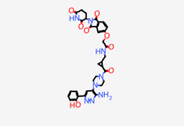 Nc1nnc(-c2ccccc2O)cc1N1CCN(C(=O)C2CC2CNC(=O)COc2ccc3c(c2)C(=O)N(C2CCC(=O)NC2=O)C3=O)CC1